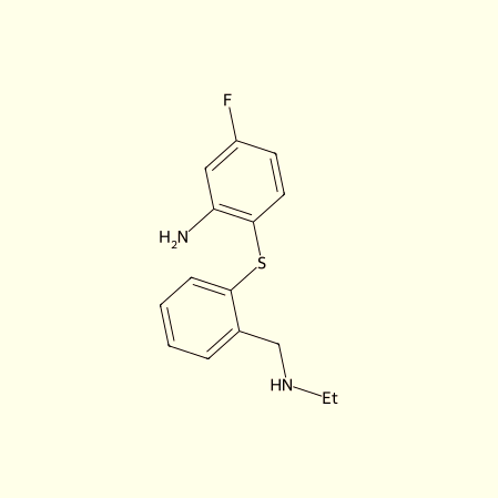 CCNCc1ccccc1Sc1ccc(F)cc1N